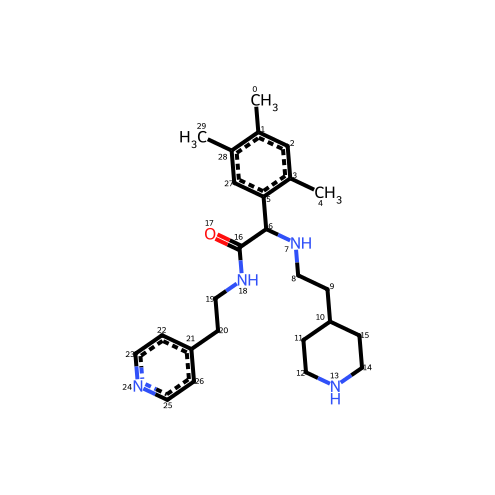 Cc1cc(C)c(C(NCCC2CCNCC2)C(=O)NCCc2ccncc2)cc1C